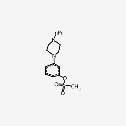 CCCN1CCN(c2cccc(OS(C)(=O)=O)c2)CC1